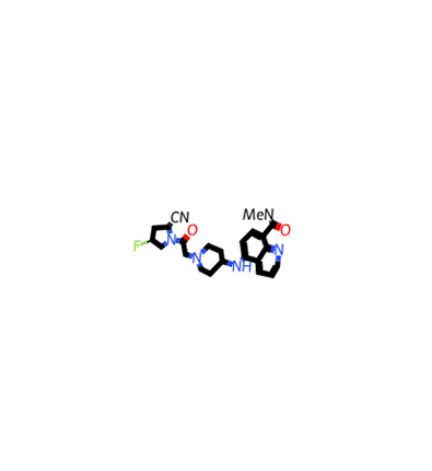 CNC(=O)c1ccc(NC2CCN(CC(=O)N3C[C@@H](F)CC3C#N)CC2)c2cccnc12